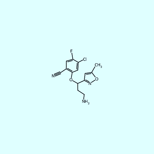 Cc1cc(C(CCN)Oc2cc(Cl)c(F)cc2C#N)no1